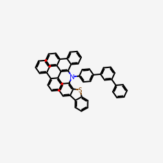 c1ccc(-c2cccc(-c3ccc(N(c4c(-c5ccccc5-c5ccccc5)c5ccccc5c5ccccc45)c4cccc5c4sc4ccccc45)cc3)c2)cc1